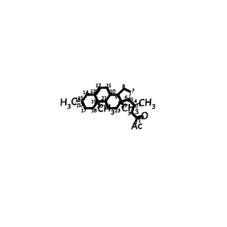 CC(=O)C(=O)C[C@@H](C)[C@H]1CCC2C3CC=C4C[C@@H](C)CC[C@]4(C)C3CC[C@@]21C